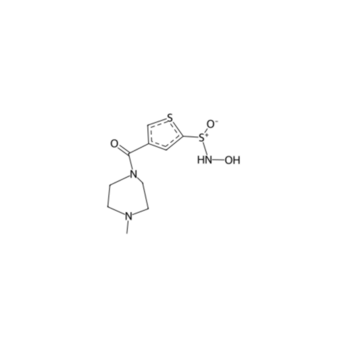 CN1CCN(C(=O)c2csc([S+]([O-])NO)c2)CC1